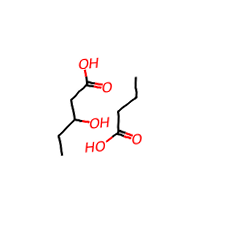 CCC(O)CC(=O)O.CCCC(=O)O